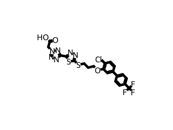 O=C(O)Cn1nnc(-c2nnc(SCCCOc3cc(-c4ccc(C(F)(F)F)cc4)ccc3Cl)s2)n1